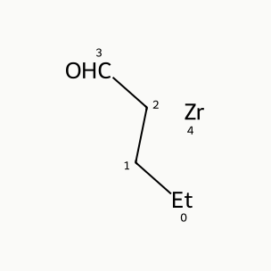 CCCCC=O.[Zr]